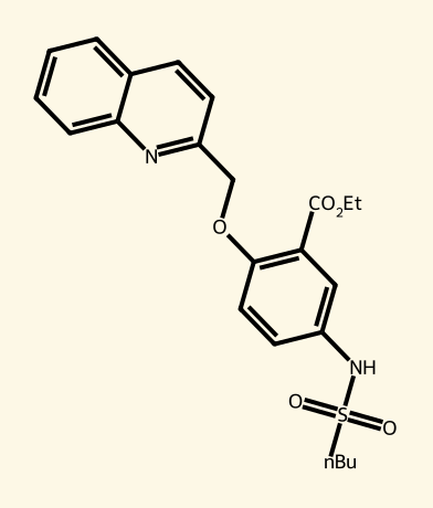 CCCCS(=O)(=O)Nc1ccc(OCc2ccc3ccccc3n2)c(C(=O)OCC)c1